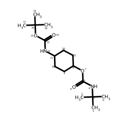 CC(C)(C)NC(=O)OC1CCC(NC(=O)OC(C)(C)C)CC1